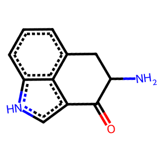 NC1Cc2cccc3[nH]cc(c23)C1=O